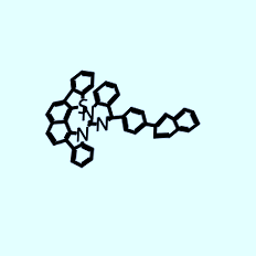 c1ccc2cc(-c3ccc(-c4nc(-n5c6ccccc6c6ccc7ccc8c9ccccc9sc8c7c65)nc5ccccc45)cc3)ccc2c1